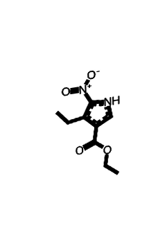 CCOC(=O)c1c[nH]c([N+](=O)[O-])c1CC